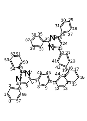 c1ccc(-c2cc(-c3ccc(-c4ccc5cccc(-c6ccc(-c7cc(-c8ccccc8)nc(-c8ccccc8)n7)cc6)c5c4)cc3)nc(-c3ccccc3)n2)cc1